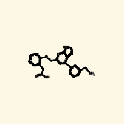 NCc1cccc(-c2cc(COc3ccccc3CC(=O)O)nc3[nH]ccc23)c1